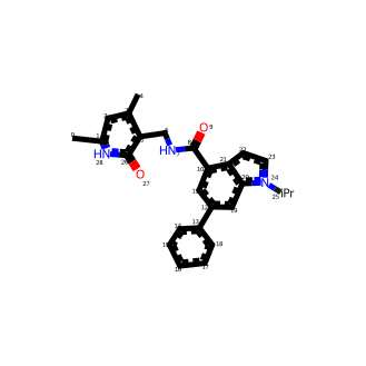 Cc1cc(C)c(CNC(=O)c2cc(-c3ccccc3)cc3c2ccn3C(C)C)c(=O)[nH]1